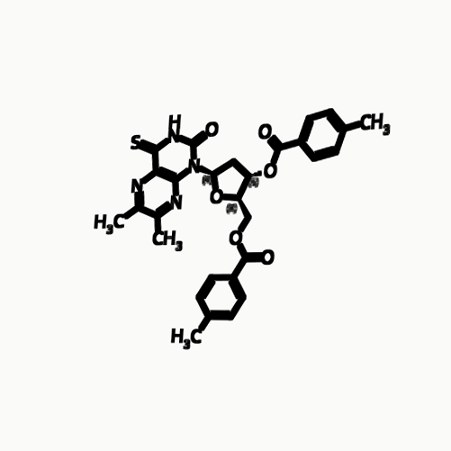 Cc1ccc(C(=O)OC[C@H]2O[C@@H](n3c(=O)[nH]c(=S)c4nc(C)c(C)nc43)C[C@@H]2OC(=O)c2ccc(C)cc2)cc1